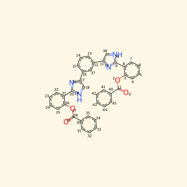 O=C(Oc1ccccc1-c1nc(-c2cccc(-c3c[nH]c(-c4ccccc4OC(=O)c4ccccc4)n3)c2)c[nH]1)c1ccccc1